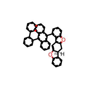 C1=C2Oc3ccccc3[C@@H]2Cc2oc3cccc(-c4c5ccccc5c(-c5ccccc5-c5ccccc5)c5ccccc45)c3c21